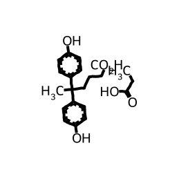 CC(CCCC(=O)O)(c1ccc(O)cc1)c1ccc(O)cc1.CCC(=O)O